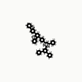 c1ccc(-c2cc(-c3ccccc3)cc(-c3nc(-c4ccccc4)cc(-c4ccc(-c5ccc(-c6ccc7c(c6)sc6ccccc67)c6oc7ccccc7c56)cc4)n3)c2)cc1